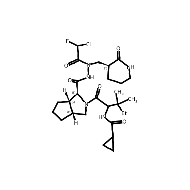 CCC(C)(C)C(NC(=O)C1CC1)C(=O)N1C[C@@H]2CCC[C@@H]2[C@H]1C(=O)NN(C[C@@H]1CCCNC1=O)C(=O)C(F)Cl